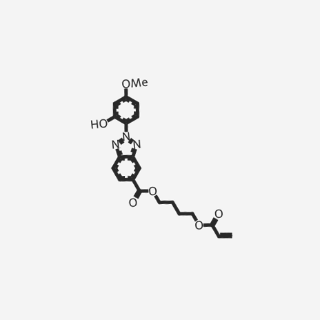 C=CC(=O)OCCCCOC(=O)c1ccc2nn(-c3ccc(OC)cc3O)nc2c1